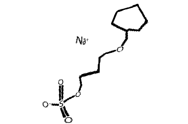 O=S(=O)([O-])OCCCOC1CCCCC1.[Na+]